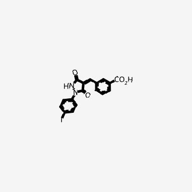 O=C1NN(c2ccc(I)cc2)C(=O)C1=Cc1cccc(C(=O)O)c1